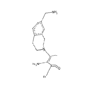 CCC(=O)/C(N)=C(\C)N1CCc2ccc(CN)cc2C1